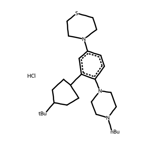 CCCCN1CCN(c2ccc(N3CCSCC3)cc2C2CCC(C(C)(C)C)CC2)CC1.Cl